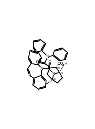 O=C(O)[C@@H]1[C@H]2CC[C@@H](CN1C(=O)N(c1ccccc1)c1ccccc1)N2C(=O)N1c2ccccc2C=Nc2ccccc21